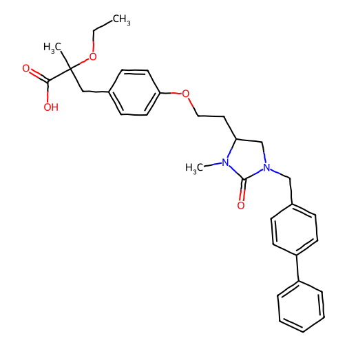 CCOC(C)(Cc1ccc(OCCC2CN(Cc3ccc(-c4ccccc4)cc3)C(=O)N2C)cc1)C(=O)O